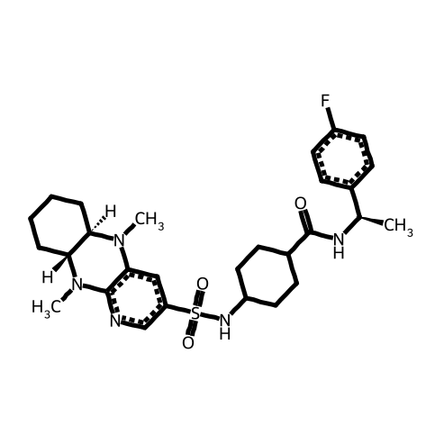 C[C@@H](NC(=O)C1CCC(NS(=O)(=O)c2cnc3c(c2)N(C)[C@@H]2CCCC[C@H]2N3C)CC1)c1ccc(F)cc1